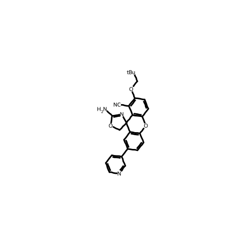 CC(C)(C)COc1ccc2c(c1C#N)C1(COC(N)=N1)c1cc(-c3cccnc3)ccc1O2